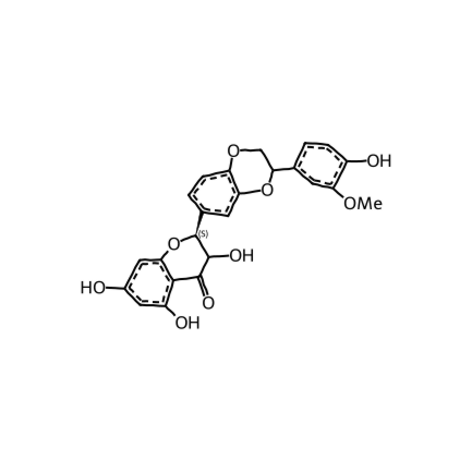 COc1cc(C2COc3ccc([C@@H]4Oc5cc(O)cc(O)c5C(=O)C4O)cc3O2)ccc1O